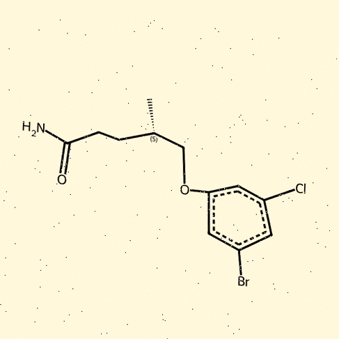 C[C@@H](CCC(N)=O)COc1cc(Cl)cc(Br)c1